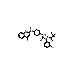 Cc1cc(NC2CCC(NC(=O)N(OC(=O)C(F)(F)F)c3cccc(Cl)c3)CC2)nc2ccccc12